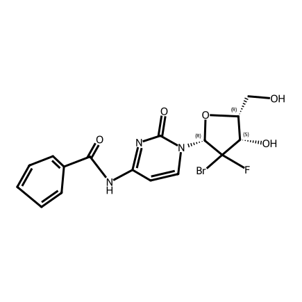 O=C(Nc1ccn([C@@H]2O[C@H](CO)[C@H](O)C2(F)Br)c(=O)n1)c1ccccc1